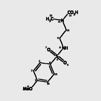 COc1ccc(S(=O)(=O)NCCN(C)C(=O)O)cc1